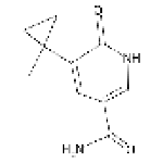 CC1(c2cc(C(N)=O)c[nH]c2=O)CC1